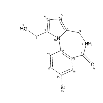 O=C1NCc2nnc(CO)n2-c2ccc(Br)cc21